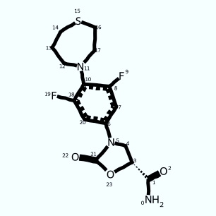 NC(=O)[C@H]1CN(c2cc(F)c(N3CCCSCC3)c(F)c2)C(=O)O1